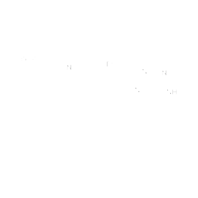 CCCc1ccc(C=O)n1Cc1ccc(-c2ccccc2-c2nnn[nH]2)cc1